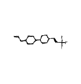 CCCC1CCC(C2CCC(/C=C/C(F)(F)F)CC2)CC1